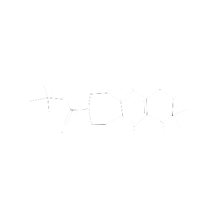 CC1(C)CCc2cc3c(cc2N1)CCN(C(=O)OC(C)(C)C)CC3